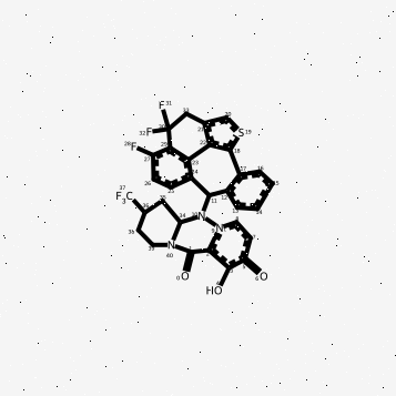 O=C1c2c(O)c(=O)ccn2N(C2c3ccccc3-c3scc4c3-c3c2ccc(F)c3C(F)(F)C4)C2CC(C(F)(F)F)CCN12